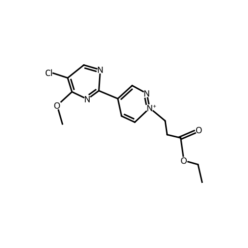 CCOC(=O)CC[n+]1ccc(-c2ncc(Cl)c(OC)n2)cn1